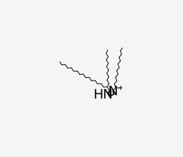 CCCCCCCCCCCCCCCCC(CCCCCCCCCCC)c1[nH]cc[n+]1C(C)CCCCCCCCCCCC